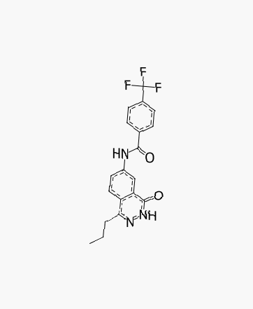 CCCc1n[nH]c(=O)c2cc(NC(=O)c3ccc(C(F)(F)F)cc3)ccc12